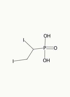 O=P(O)(O)C(I)CI